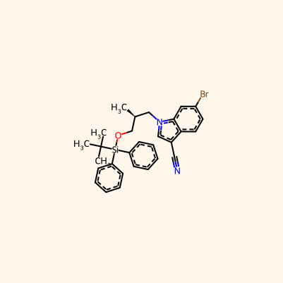 C[C@H](CO[Si](c1ccccc1)(c1ccccc1)C(C)(C)C)Cn1cc(C#N)c2ccc(Br)cc21